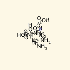 CC(C)(O/N=C(\C(=O)N[C@@H]1C(O)N(S(=O)(=O)O)[C@@H]1Cn1ccc(N)n1)c1csc(N)n1)C(=O)O